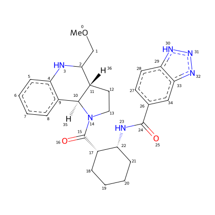 COCC1Nc2ccccc2[C@H]2[C@H]1CCN2C(=O)[C@H]1CCCC[C@H]1NC(=O)c1ccc2[nH]nnc2c1